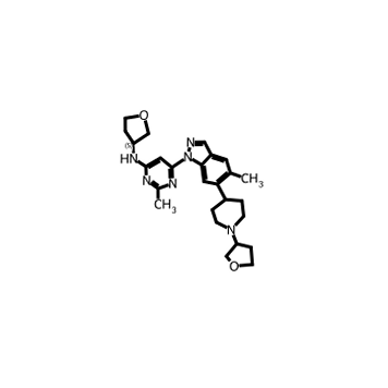 Cc1nc(N[C@H]2CCOC2)cc(-n2ncc3cc(C)c(C4CCN(C5CCOC5)CC4)cc32)n1